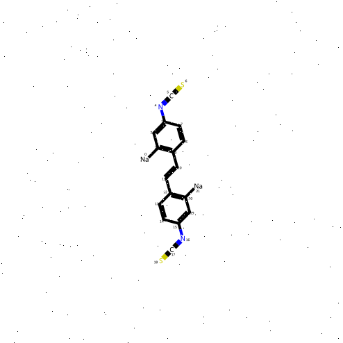 [Na][c]1cc(N=C=S)ccc1C=Cc1ccc(N=C=S)c[c]1[Na]